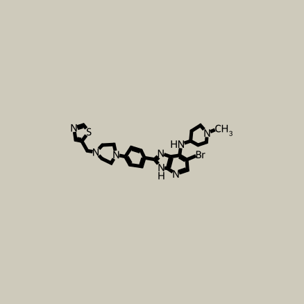 CN1CCC(Nc2c(Br)cnc3[nH]c(-c4ccc(N5CCN(Cc6cncs6)CC5)cc4)nc23)CC1